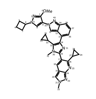 COc1nn(C2CCC2)cc1-n1cc2c(-c3nc(-c4cc5cn(C)nc5nc4C4CC4)n(C)c3C3CC3)cccc2n1